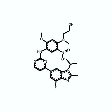 COc1cc(N(C)CCO)c([N+](=O)[O-])cc1Nc1nccc(-c2cc(F)c3nc(C)n(C(C)C)c3c2)n1